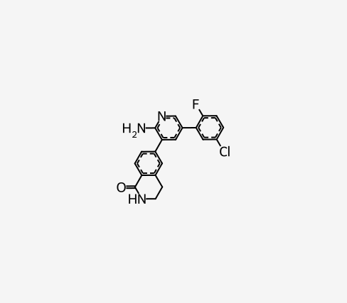 Nc1ncc(-c2cc(Cl)ccc2F)cc1-c1ccc2c(c1)CCNC2=O